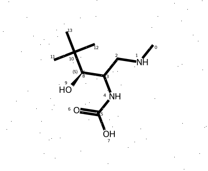 CNCC(NC(=O)O)[C@@H](O)C(C)(C)C